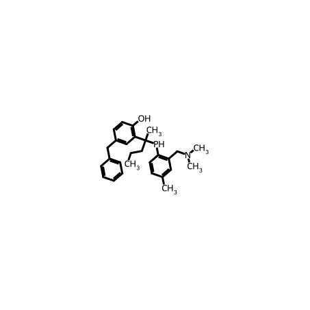 CCCC(C)(Pc1ccc(C)cc1CN(C)C)c1cc(Cc2ccccc2)ccc1O